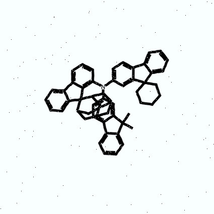 CC1(C)c2ccccc2-c2ccc(N(c3ccc4c(c3)C3(CCCCC3)c3ccccc3-4)c3cccc4c3C3(c5ccccc5-4)C4CC5CC(C4)CC3C5)cc21